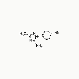 Cc1nc(N)n(-c2ccc(Br)cc2)n1